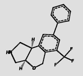 FC(F)(F)c1cc(-c2ccccc2)cc2c1CO[C@H]1CNC[C@@H]21